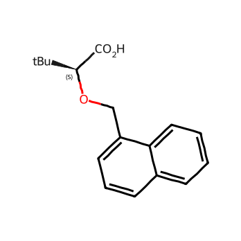 CC(C)(C)[C@H](OCc1cccc2ccccc12)C(=O)O